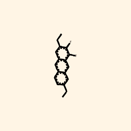 CCc1ccc2cc3cc(CC)c(F)c(F)c3cc2c1